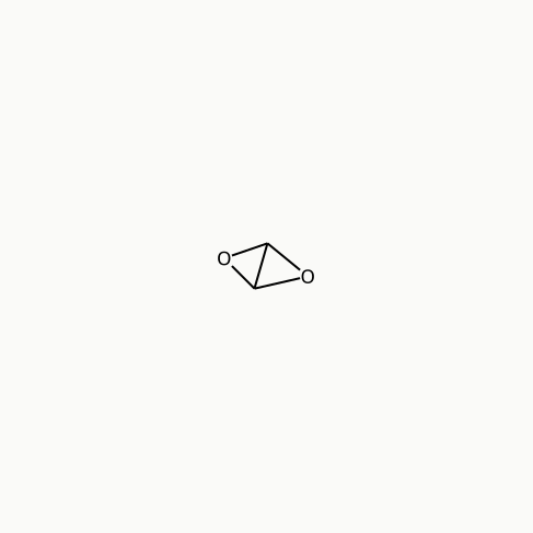 O1C2OC12